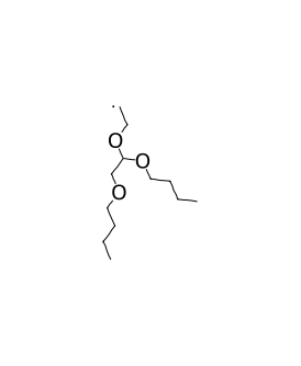 [CH2]COC(COCCCC)OCCCC